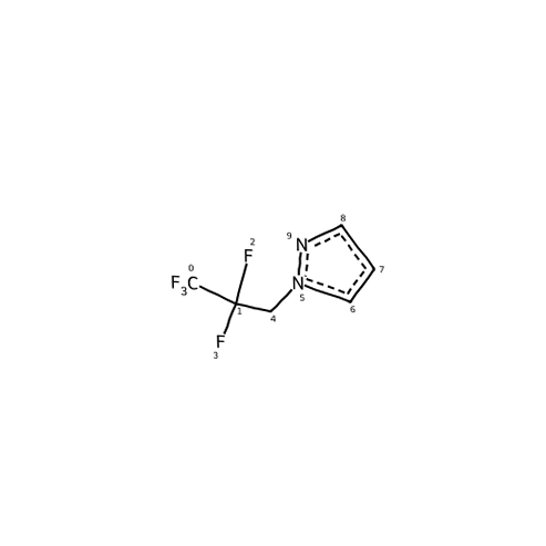 FC(F)(F)C(F)(F)Cn1cccn1